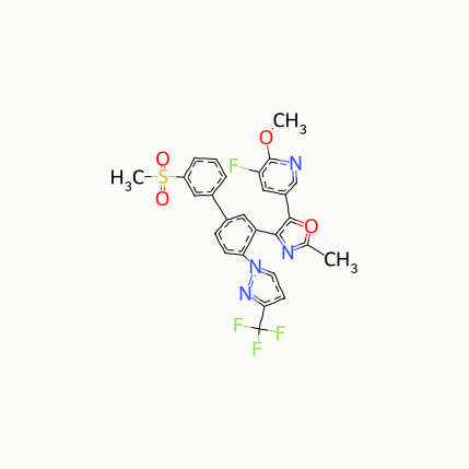 COc1ncc(-c2oc(C)nc2-c2cc(-c3cccc(S(C)(=O)=O)c3)ccc2-n2ccc(C(F)(F)F)n2)cc1F